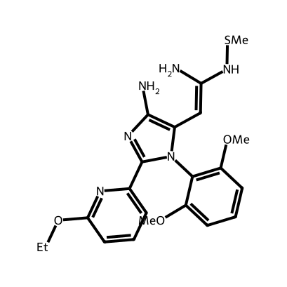 CCOc1cccc(-c2nc(N)c(/C=C(\N)NSC)n2-c2c(OC)cccc2OC)n1